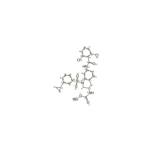 CC(C)(C)OC(=O)NC1Cc2ncc(NC(=O)c3c(Cl)cccc3Cl)cc2N(S(=O)(=O)c2cccc(C3CC3)c2)C1